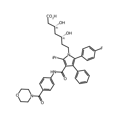 CC(C)c1c(C(=O)Nc2ccc(C(=O)N3CCOCC3)cc2)c(-c2ccccc2)c(-c2ccc(F)cc2)n1CC[C@@H](O)C[C@@H](O)CC(=O)O